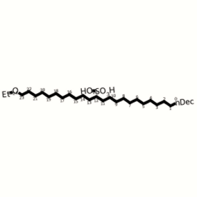 CCCCCCCCCCCCCCCCCCCCCCCCCCCCCCCCCOCC.O=S(=O)(O)O